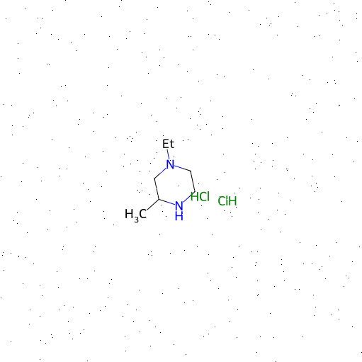 CCN1CCNC(C)C1.Cl.Cl